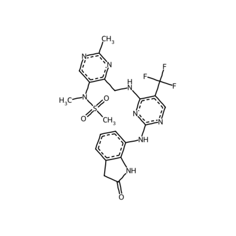 Cc1ncc(N(C)S(C)(=O)=O)c(CNc2nc(Nc3cccc4c3NC(=O)C4)ncc2C(F)(F)F)n1